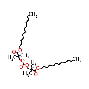 CCCCCCCCCCCCOC(=O)C(C)(C)COC(=O)OCC(C)(C)C(=O)OCCCCCCCCCCCC